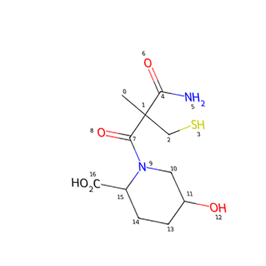 CC(CS)(C(N)=O)C(=O)N1CC(O)CCC1C(=O)O